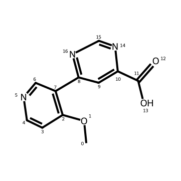 COc1ccncc1-c1cc(C(=O)O)ncn1